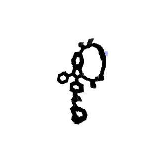 O=C1CN2c3cc(ccc3C(C3CCCCC3)C2c2ccc(OCc3ccccc3)cc2)C(=O)NCC/C=C\CCN1